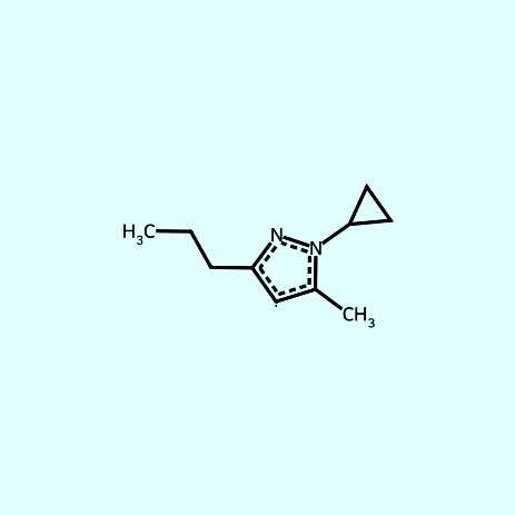 CCCc1[c]c(C)n(C2CC2)n1